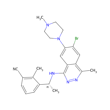 Cc1c(C#N)cccc1[C@@H](C)Nc1nnc(C)c2cc(Br)c(N3CCN(C)CC3)cc12